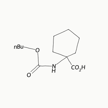 CCCCOC(=O)NC1(C(=O)O)CCCCC1